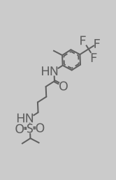 Cc1cc(C(F)(F)F)ccc1NC(=O)CCCCNS(=O)(=O)C(C)C